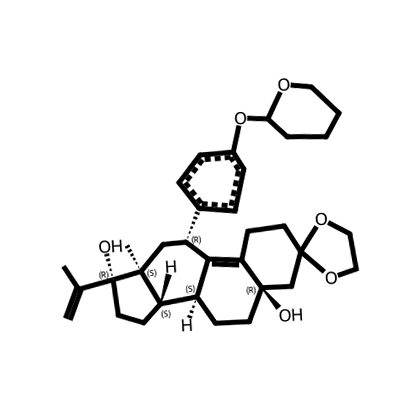 C=C(C)[C@]1(O)CC[C@H]2[C@@H]3CC[C@@]4(O)CC5(CCC4=C3[C@@H](c3ccc(OC4CCCCO4)cc3)C[C@@]21C)OCCO5